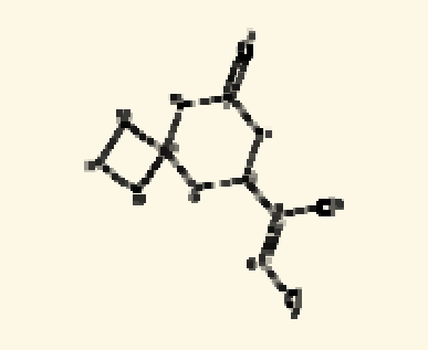 O=C1CC(C(Cl)=CCl)CC2(CCC2)C1